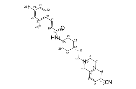 N#Cc1ccc2c(c1)CCN(CC[C@H]1CC[C@H](NC(=O)/C=C/c3ccc(F)cc3F)CC1)C2